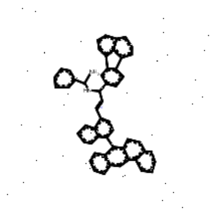 NC(NC(/C=C/c1ccc(-c2c3ccccc3cc3c2ccc2ccccc23)c2ccccc12)c1ccc2c(c1)-c1cccc3cccc-2c13)c1ccccc1